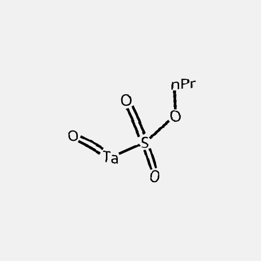 CCCO[S](=O)(=O)[Ta]=[O]